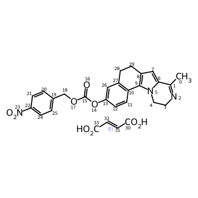 CC1=NCCn2c1cc1c2-c2ccc(OC(=O)OCc3ccc([N+](=O)[O-])cc3)cc2CC1.O=C(O)/C=C/C(=O)O